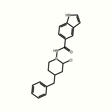 O=C(NN1CCC(Cc2ccccc2)CC1Cl)c1ccc2[nH]ccc2c1